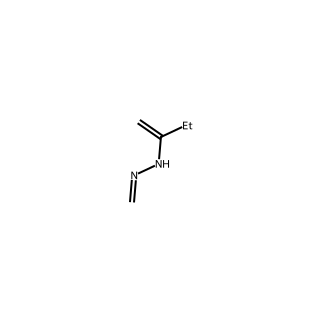 C=NNC(=C)CC